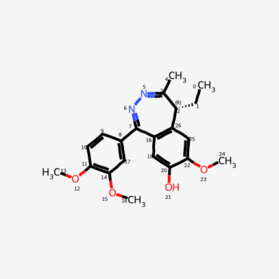 CC[C@H]1C(C)=NN=C(c2ccc(OC)c(OC)c2)c2cc(O)c(OC)cc21